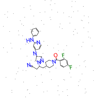 N#CCC(CC1CCN(C(=O)c2ccc(F)cc2F)CC1)N1CC(=Nc2ccnc(Nc3ccccc3)c2)C=N1